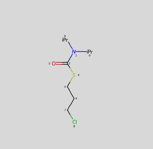 CC(C)N(C(=O)SCCCCl)C(C)C